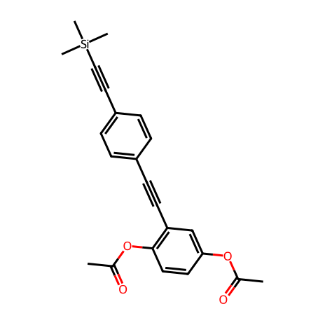 CC(=O)Oc1ccc(OC(C)=O)c(C#Cc2ccc(C#C[Si](C)(C)C)cc2)c1